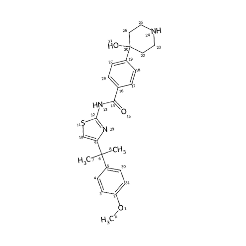 COc1ccc(C(C)(C)c2csc(NC(=O)c3ccc(C4(O)CCNCC4)cc3)n2)cc1